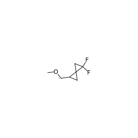 CO[CH]C1CC12CC2(F)F